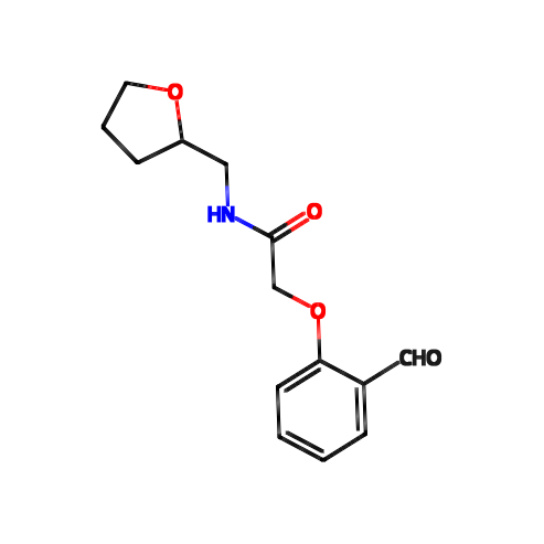 O=Cc1ccccc1OCC(=O)NCC1CCCO1